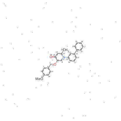 COc1ccc(COc2cn(-c3cccc(-c4ccccc4)c3)c(C)cc2=O)cc1